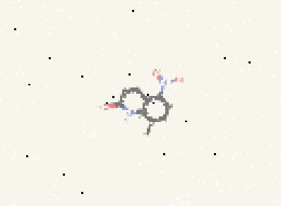 Cc1ccc([N+](=O)[O-])c2ccc(=O)[nH]c12